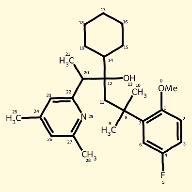 COc1ccc(F)cc1C(C)(C)CC(O)(C1CCCCC1)C(C)c1cc(C)cc(C)n1